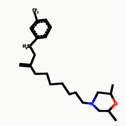 C=C(CCCCCCCN1CC(C)OC(C)C1)C[SiH2]c1cccc(C(F)(F)F)c1